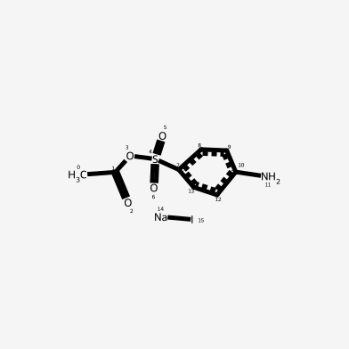 CC(=O)OS(=O)(=O)c1ccc(N)cc1.[Na][I]